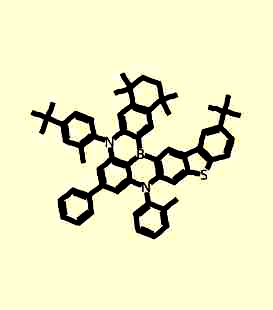 Cc1cc(C(C)(C)C)ccc1N1c2cc3c(cc2B2c4cc5c(cc4N(c4ccccc4C)c4cc(-c6ccccc6)cc1c42)sc1ccc(C(C)(C)C)cc15)C(C)(C)CCC3(C)C